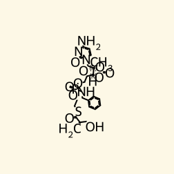 C=C(CO)C(=O)SCCOP(=O)(NCc1ccccc1)OCC1OC(n2ccc(N)nc2=O)[C@]2(C)OC(=O)O[C@H]12